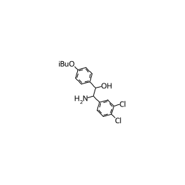 CC(C)COc1ccc(C(O)C(N)c2ccc(Cl)c(Cl)c2)cc1